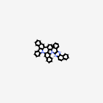 c1ccc(-c2nc3c(ccc4ccccc43)nc2-n2c3cccc4c5cc6ccccc6c6c7ccccc7n(c7cc8ccccc8c2c7c43)c56)cc1